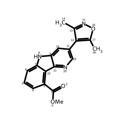 COC(=O)c1cccc2[nH]c3cc(-c4c(C)noc4C)cnc3c12